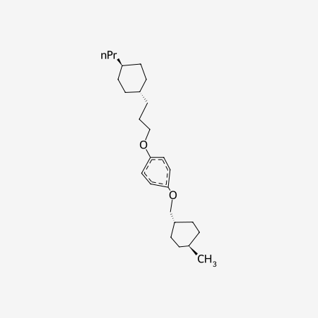 CCC[C@H]1CC[C@H](CCCOc2ccc(OC[C@H]3CC[C@H](C)CC3)cc2)CC1